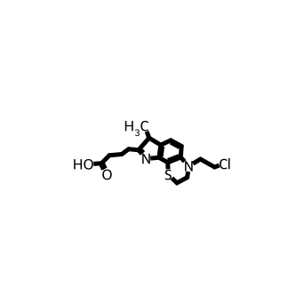 CC1C(CCCC(=O)O)=Nc2c1ccc1c2SCCN1CCCl